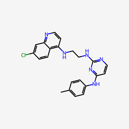 Cc1ccc(Nc2ccnc(NCCNc3ccnc4cc(Cl)ccc34)n2)cc1